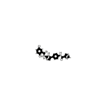 O=C(Nc1ccc(-c2cnc(NC(=O)c3cc(Cl)ccc3O)[nH]2)cc1)c1cscn1